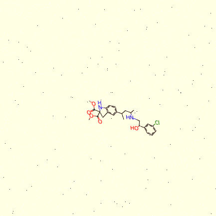 COC(=O)C1(C(=O)OC)Cc2cc(C(C)CC(C)NC[C@H](O)c3cccc(Cl)c3)ccc2N1